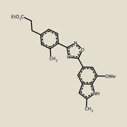 CCOC(=O)CCc1ccc(-c2noc(-c3cc(OC)c4[nH]c(C)cc4c3)n2)c(C)c1